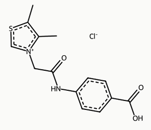 Cc1sc[n+](CC(=O)Nc2ccc(C(=O)O)cc2)c1C.[Cl-]